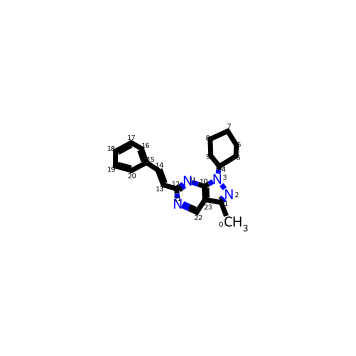 Cc1nn(C2CCCCC2)c2nc(C=Cc3ccccc3)ncc12